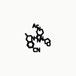 CC(=O)N1CCc2c(c(N3CC(C)Cc4ccc(C#N)cc43)nn2C2CCOC2)C1